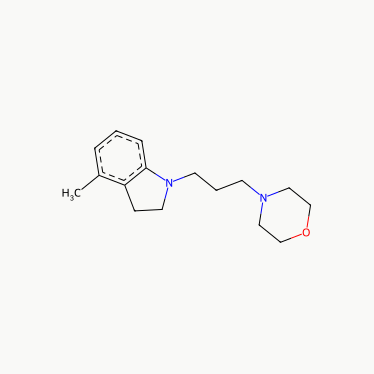 Cc1cccc2c1CCN2CCCN1CCOCC1